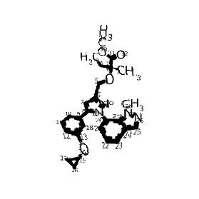 CC[C@@](C)(OCc1cc(-c2cccc(OC3CC3)c2)n(-c2cccc3cnn(C)c23)n1)C(=O)OC